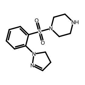 O=S(=O)(c1ccccc1N1CCC=N1)N1CCNCC1